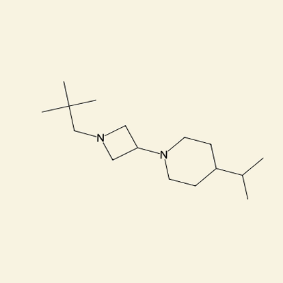 CC(C)C1CCN(C2CN(CC(C)(C)C)C2)CC1